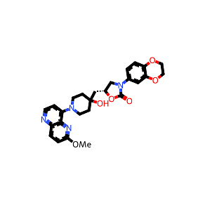 COc1ccc2nccc(N3CCC(O)(C[C@@H]4CN(c5ccc6c(c5)OCCO6)C(=O)O4)CC3)c2n1